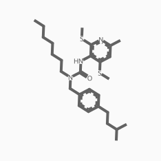 CCCCCCCN(Cc1ccc(CCC(C)C)cc1)C(=O)Nc1c(SC)cc(C)nc1SC